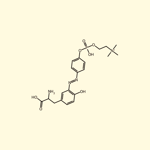 C[N+](C)(C)CCOP(=O)(O)Oc1ccc(/N=N/c2cc(CC(N)C(=O)O)ccc2O)cc1